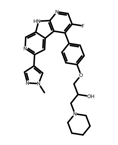 Cn1cc(-c2cc3c(cn2)[nH]c2ncc(F)c(-c4ccc(OCC(O)CN5CCCCC5)cc4)c23)cn1